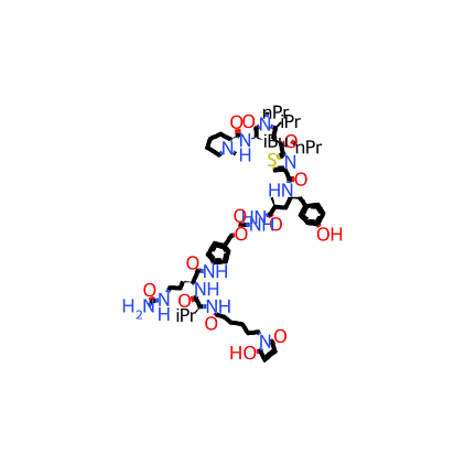 CCCO[C@H](C[C@H](C(C)C)N(CCC)C(=O)[C@@H](NC(=O)[C@H]1CCCCN1C)[C@@H](C)CC)c1nc(C(=O)N[C@@H](Cc2ccc(O)cc2)C[C@H](C)C(=O)NNC(=O)OCc2ccc(NC(=O)[C@@H](CCCNC(N)=O)NC(=O)[C@H](NC(=O)CCCCCN3C(=O)C=CC3O)C(C)C)cc2)cs1